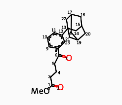 COC(=O)CCCC(=O)c1cccc(C23CC4CC(CC(C4)C2)C3)c1